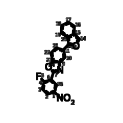 O=[N+]([O-])c1ccc(F)c(-c2nc3cc(-c4occ5ccccc45)ccc3o2)c1